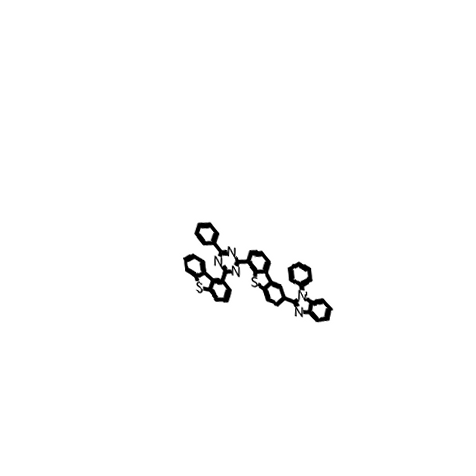 C1=c2sc3c(-c4nc(-c5ccccc5)nc(-c5cccc6sc7ccccc7c56)n4)cccc3c2=CC(c2nc3ccccc3n2-c2ccccc2)C1